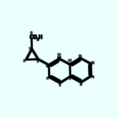 O=C(O)C1CC1c1ccc2ccccc2n1